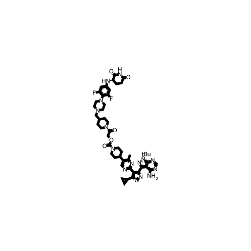 Cc1nc(-c2c(-c3nn(C(C)(C)C)c4ncnc(N)c34)noc2C2CC2)ncc1C1CCN(C(=O)OCC(=O)N2CCC(CN3CCN(c4c(F)cc(N[C@H]5CCC(=O)NC5=O)cc4F)CC3)CC2)CC1